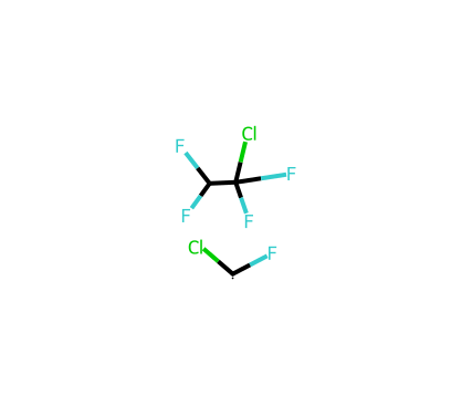 FC(F)C(F)(F)Cl.F[CH]Cl